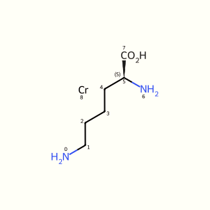 NCCCC[C@H](N)C(=O)O.[Cr]